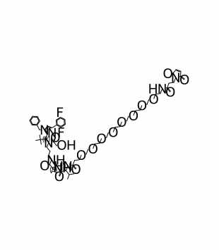 CC(C)C(NC(=O)CCOCCOCCOCCOCCOCCOCCOCCOCCNC(=O)CCN1C(=O)C=CC1=O)C(=O)N[C@@H](C)C(=O)NCCCN(C(=O)CO)[C@@H](c1nc(-c2cc(F)ccc2F)cn1Cc1ccccc1)C(C)(C)C